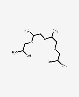 CC(O)COCC(C)OCC(C)OCC(C)O